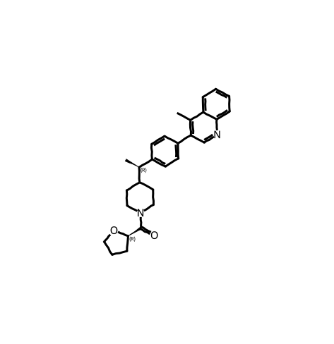 Cc1c(-c2ccc([C@H](C)C3CCN(C(=O)[C@H]4CCCO4)CC3)cc2)cnc2ccccc12